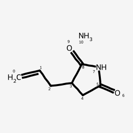 C=CCC1CC(=O)NC1=O.N